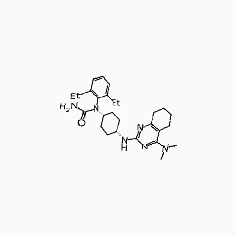 CCc1cccc(CC)c1N(C(N)=O)[C@H]1CC[C@@H](Nc2nc3c(c(N(C)C)n2)CCCC3)CC1